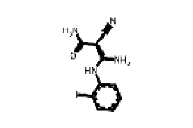 N#CC(C(N)=O)=C(N)Nc1ccccc1I